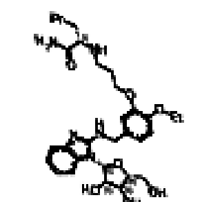 CCOc1ccc(CNc2nc3ccccc3n2[C@@H]2O[C@H](CO)[C@@H](O)[C@H]2O)cc1OCCCN[C@@H](CC(C)C)C(N)=O